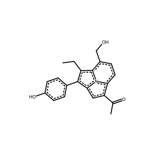 CCc1c(-c2ccc(O)cc2)c2cc(C(C)=O)c3ccc(CO)c1n32